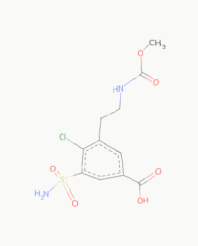 COC(=O)NCCc1cc(C(=O)O)cc(S(N)(=O)=O)c1Cl